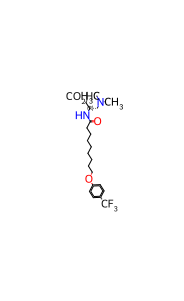 CN(C)C[C@@H](CC(=O)O)NC(=O)CCCCCCCCOc1ccc(C(F)(F)F)cc1